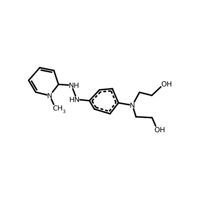 CN1C=CC=CC1NNc1ccc(N(CCO)CCO)cc1